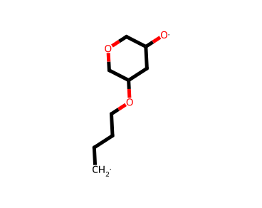 [CH2]CCCOC1COCC([O])C1